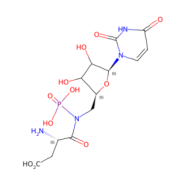 N[C@@H](CC(=O)O)C(=O)N(C[C@@H]1O[C@H](n2ccc(=O)[nH]c2=O)C(O)C1O)P(=O)(O)O